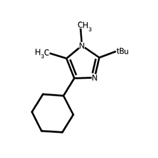 Cc1c(C2CCCCC2)nc(C(C)(C)C)n1C